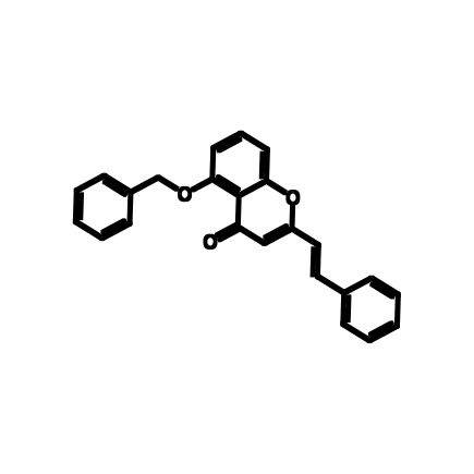 O=c1cc(C=Cc2ccccc2)oc2cccc(OCc3ccccc3)c12